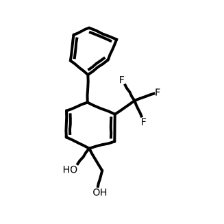 OCC1(O)C=CC(c2ccccc2)C(C(F)(F)F)=C1